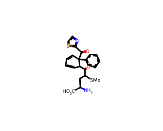 CSC(CC(N)C(=O)O)C(=O)C1C=CC=CC1(C(=O)c1nccs1)c1ccccc1